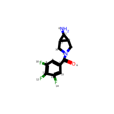 NC1C2CN(C(=O)c3cc(F)c(F)c(F)c3)CC12